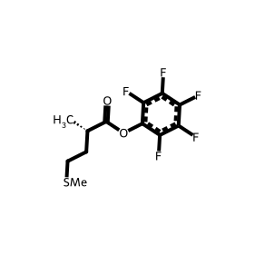 CSCC[C@H](C)C(=O)Oc1c(F)c(F)c(F)c(F)c1F